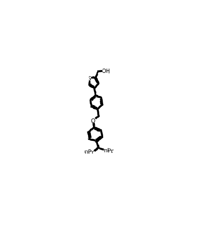 CCCC(CCC)c1ccc(OCc2ccc(-c3csc(CO)c3)cc2)cc1